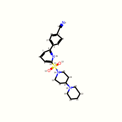 N#Cc1ccc(-c2cccc(S(=O)(=O)N3CCC(N4CCCCC4)CC3)n2)cc1